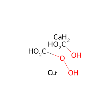 O=C(O)O.O=C(O)OO.[CaH2].[Cu]